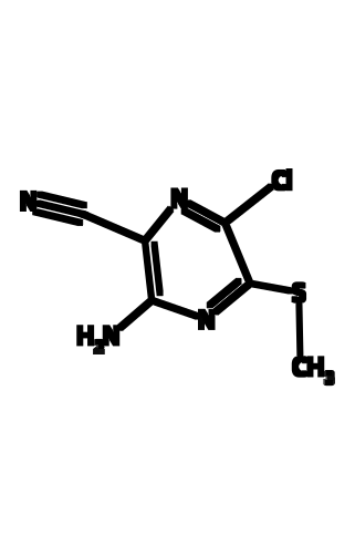 CSc1nc(N)c(C#N)nc1Cl